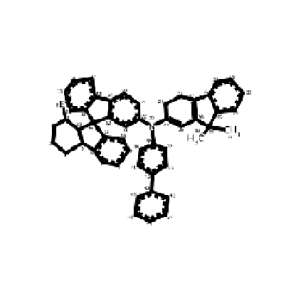 CCC1CCCC2c3ccccc3C3(c4ccccc4-c4ccc(N(C5=CC6=C(CC5)c5ccccc5C6(C)C)c5ccc(-c6ccccc6)cc5)cc43)C12